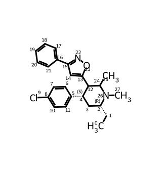 CC[C@@H]1C[C@H](c2ccc(Cl)cc2)C(c2cc(-c3ccccc3)no2)C(C)N1C